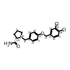 NC(=O)[C@@H]1CCCN1Cc1ccc(OCc2ccc(Cl)c(Cl)c2)cc1